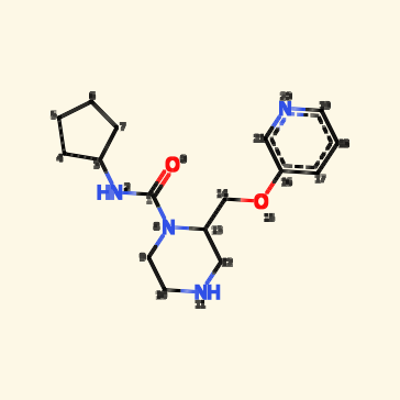 O=C(NC1CCCC1)N1CCNCC1COc1cccnc1